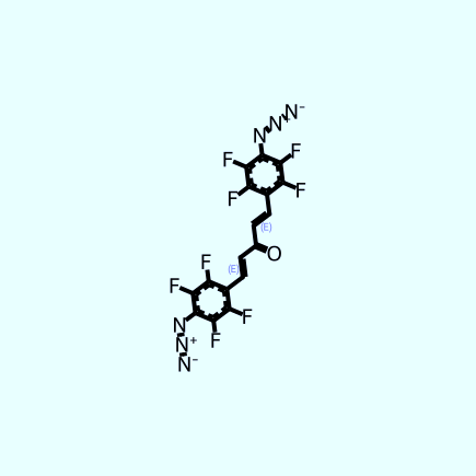 [N-]=[N+]=Nc1c(F)c(F)c(/C=C/C(=O)/C=C/c2c(F)c(F)c(N=[N+]=[N-])c(F)c2F)c(F)c1F